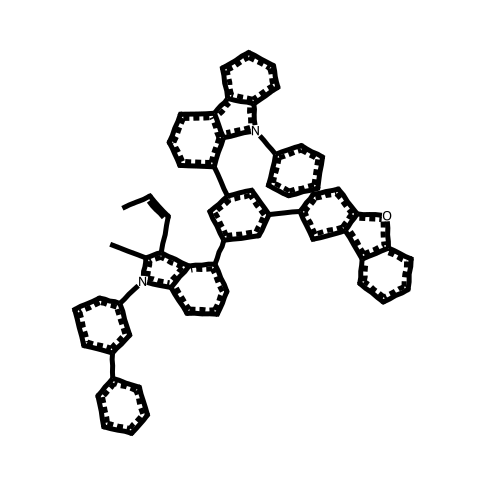 C/C=C\c1c(C)n(-c2cccc(-c3ccccc3)c2)c2cccc(-c3cc(-c4ccc5oc6ccccc6c5c4)cc(-c4cccc5c6ccccc6n(-c6ccccc6)c45)c3)c12